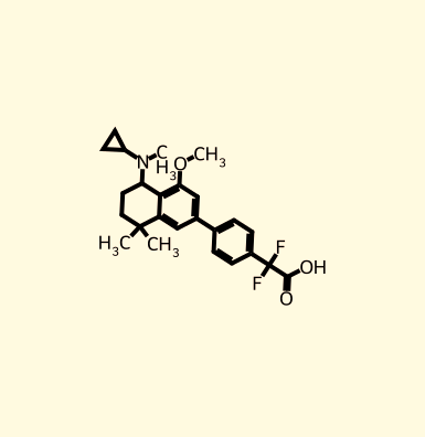 COc1cc(-c2ccc(C(F)(F)C(=O)O)cc2)cc2c1C(N(C)C1CC1)CCC2(C)C